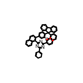 C1=CC(c2nc(-c3ccccc3)nc(-c3c(-c4ccc5c(c4)Oc4ccccc4C54c5ccccc5-c5ccccc54)ccc4ccccc34)n2)=CCC1